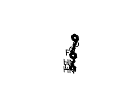 O=C1NCCC1NCc1ccc(OCCOc2ccccc2)c(F)c1